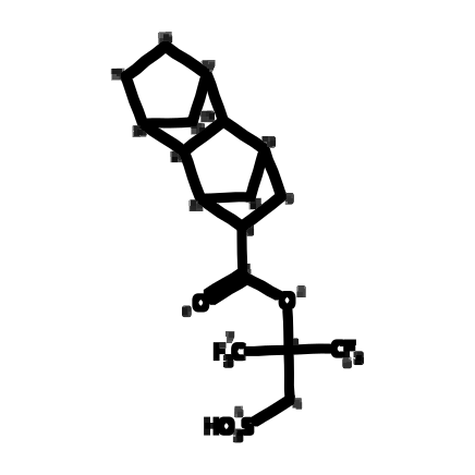 O=C(OC(CS(=O)(=O)O)(C(F)(F)F)C(F)(F)F)C1CC2CC1C1C3CCC(C3)C21